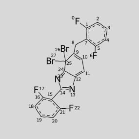 Fc1cccc(F)c1CC1=CC=C2N=C(c3c(F)cccc3F)N=C2C1(Br)Br